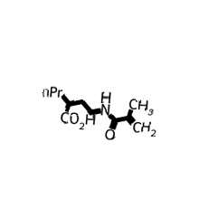 C=C(C)C(=O)NCCC(CCC)C(=O)O